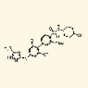 COc1cc(-c2c(Cl)cc(Nc3n[nH]c(N)n3)cc2C(F)(F)F)ccc1S(=O)(=O)N[C@H]1CC[C@H](O)CC1